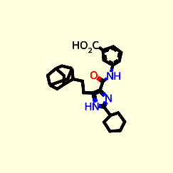 O=C(O)c1cccc(NC(=O)c2nc(C3CCCCC3)[nH]c2CCC2C3CC4CC(C3)CC2C4)c1